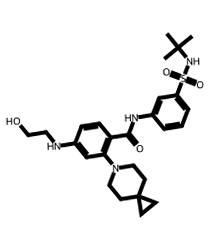 CC(C)(C)NS(=O)(=O)c1cccc(NC(=O)c2ccc(NCCO)cc2N2CCC3(CC2)CC3)c1